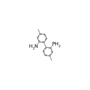 Cc1ccc(-c2ccc(C)cc2P)c(N)c1